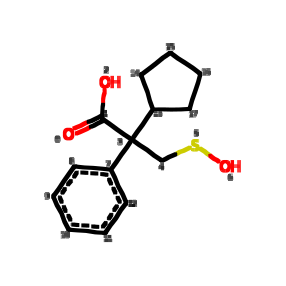 O=C(O)C(CSO)(c1ccccc1)C1CCCC1